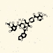 CCc1c(N2CCN(C(=O)c3ncnc(C)c3O)CC2)c(=O)n2nc(-c3ccc4c(c3)CCO4)nc2n1CC(=O)Nc1ccc(Cl)c(OC(F)F)c1Cl